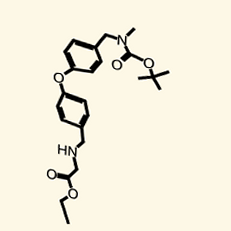 CCOC(=O)CNCc1ccc(Oc2ccc(CN(C)C(=O)OC(C)(C)C)cc2)cc1